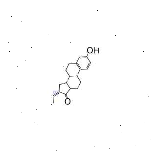 C/C=C1/CC2C(CCC3c4ccc(O)cc4CCC32)C1=O